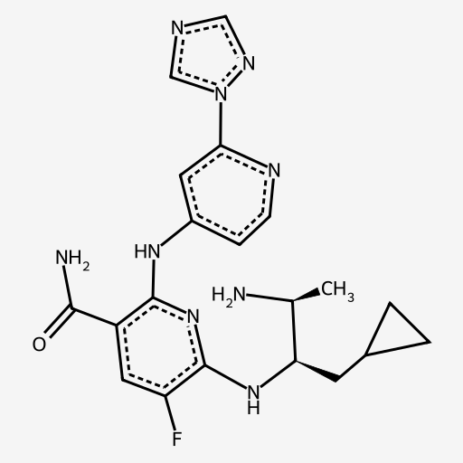 C[C@H](N)[C@@H](CC1CC1)Nc1nc(Nc2ccnc(-n3cncn3)c2)c(C(N)=O)cc1F